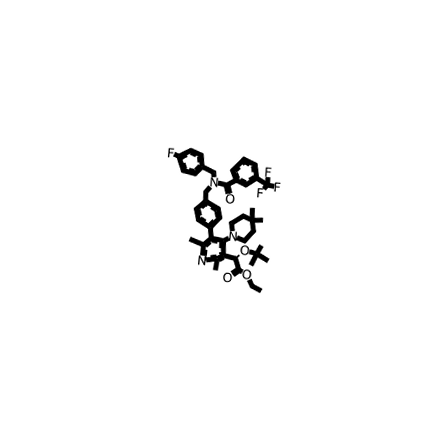 CCOC(=O)[C@@H](OC(C)(C)C)c1c(C)nc(C)c(-c2ccc(CN(Cc3ccc(F)cc3)C(=O)c3cccc(C(F)(F)F)c3)cc2)c1N1CCC(C)(C)CC1